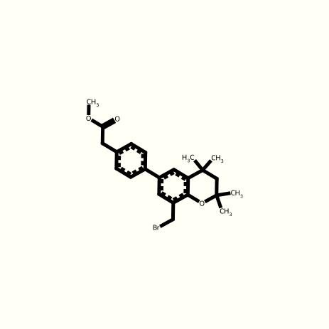 COC(=O)Cc1ccc(-c2cc(CBr)c3c(c2)C(C)(C)CC(C)(C)O3)cc1